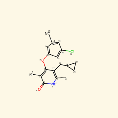 Cc1[nH]c(=O)c(C(C)C)c(Oc2cc(Cl)cc(C#N)c2)c1CC1CC1